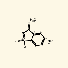 O.O=C1N=S(=O)([O-])c2ccccc21.[Na+]